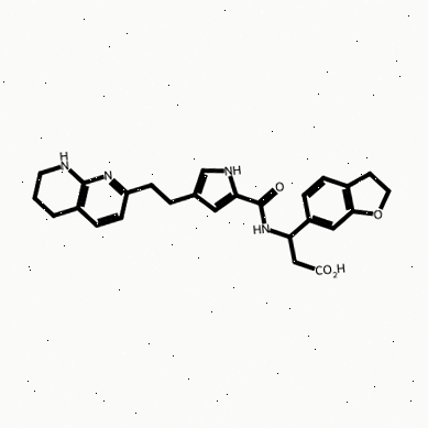 O=C(O)CC(NC(=O)c1cc(CCc2ccc3c(n2)NCCC3)c[nH]1)c1ccc2c(c1)OCC2